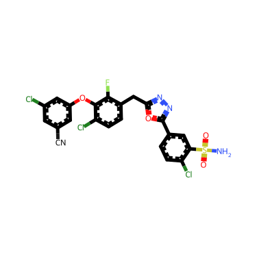 N#Cc1cc(Cl)cc(Oc2c(Cl)ccc(Cc3nnc(-c4ccc(Cl)c(S(N)(=O)=O)c4)o3)c2F)c1